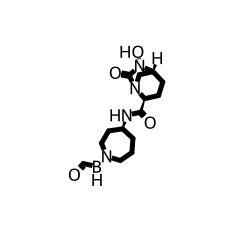 O=CBN1CCC[C@H](NC(=O)[C@@H]2CC[C@@H]3CN2C(=O)N3O)CC1